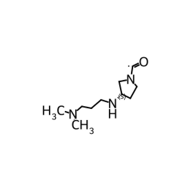 CN(C)CCCN[C@H]1CCN([C]=O)C1